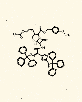 COc1ccc(COC(=O)C2=C(/C=C\COC(N)=O)CS[C@@H]3C(NC(=O)/C(=N\OC(c4ccccc4)(c4ccccc4)c4ccccc4)c4csc(NC(c5ccccc5)(c5ccccc5)c5ccccc5)n4)C(=O)N23)cc1